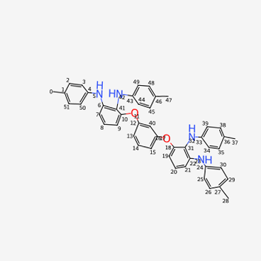 Cc1ccc(Nc2cccc(Oc3cccc(Oc4cccc(Nc5ccc(C)cc5)c4Nc4ccc(C)cc4)c3)c2Nc2ccc(C)cc2)cc1